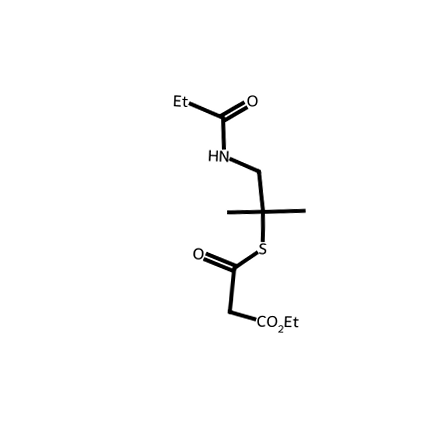 CCOC(=O)CC(=O)SC(C)(C)CNC(=O)CC